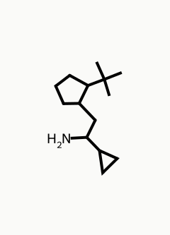 CC(C)(C)C1CCCC1CC(N)C1CC1